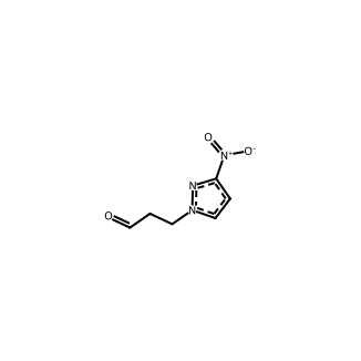 O=CCCn1ccc([N+](=O)[O-])n1